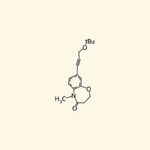 CN1C(=O)CCOc2cc(C#CCOC(C)(C)C)ccc21